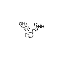 CNC(=O)OCc1cccc(F)c1-n1cc(CO)c(C)n1